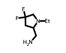 CCN1CC(F)(F)CC1CN